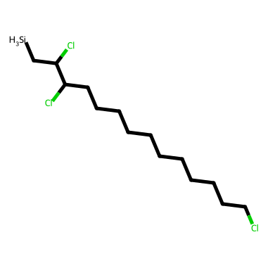 [SiH3]CC(Cl)C(Cl)CCCCCCCCCCCCl